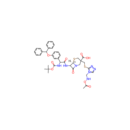 CC(=O)ONCn1cnnc1SCC1(C(=O)O)CS[C@@H]2C(NC(=O)C(NC(=O)OC(C)(C)C)c3cccc(OC(c4ccccc4)c4ccccc4)c3)C(=O)N2C1